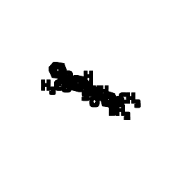 Bc1cc(C(=O)NC(=S)Nc2ccc(S(=O)(=O)N(C)c3ccccc3)cc2)ccc1OC